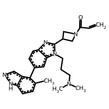 C=CC(=O)N1CC(c2nc3ccc(-c4c(C)ccc5[nH]ncc45)cc3n2CCCN(C)C)C1